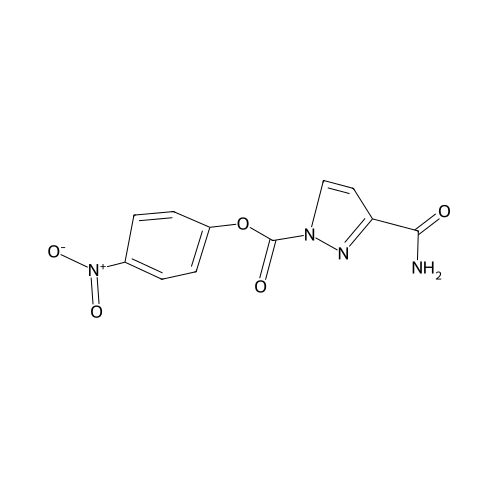 NC(=O)c1ccn(C(=O)Oc2ccc([N+](=O)[O-])cc2)n1